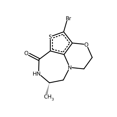 C[C@H]1CN2CCOc3c(Br)sc(c32)C(=O)N1